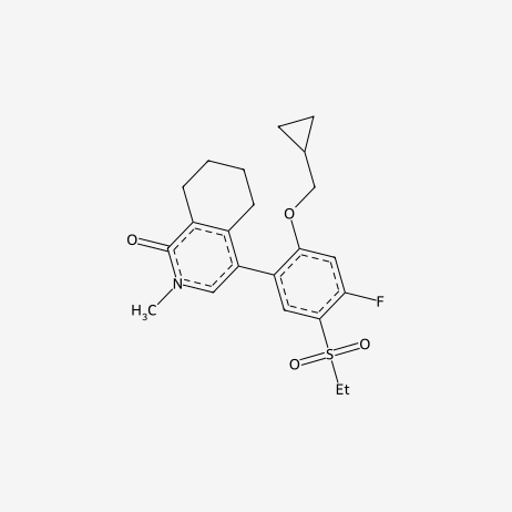 CCS(=O)(=O)c1cc(-c2cn(C)c(=O)c3c2CCCC3)c(OCC2CC2)cc1F